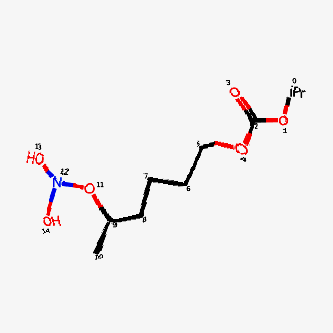 CC(C)OC(=O)OCCCC[C@@H](C)ON(O)O